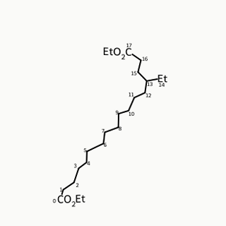 CCOC(=O)CCCCCCCCCCCCC(CC)CCC(=O)OCC